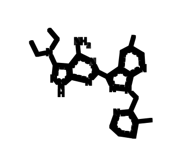 CCN(CC)c1n[nH]c2nc(-c3nn(Cc4ncccc4C)c4ncc(C)cc34)nc(N)c12